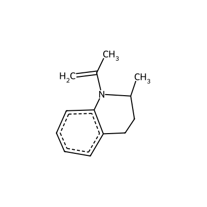 C=C(C)N1c2ccccc2CCC1C